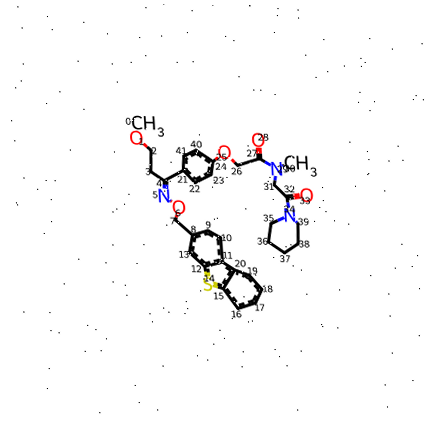 COCCC(=NOCc1ccc2c(c1)sc1ccccc12)c1ccc(OCC(=O)N(C)CC(=O)N2CCCCC2)cc1